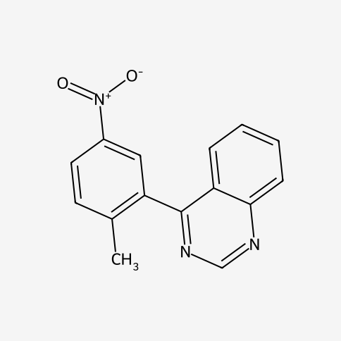 Cc1ccc([N+](=O)[O-])cc1-c1ncnc2ccccc12